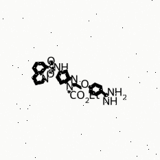 CCOC(=O)Cn1c(COc2ccc(C(=N)N)cc2)nc2cc(NS(=O)(=O)c3cccc4cccnc34)ccc21